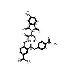 CCOC(C(=O)NCc1ccc(C(=N)N)cc1NCc1ccc(C(=O)OC)cc1)N1C(=O)c2ccc(C)cc2C1=O